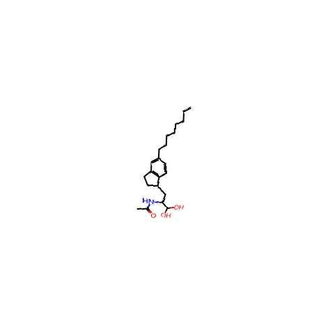 CCCCCCCCc1ccc2c(c1)CCC2CC(NC(C)=O)C(O)O